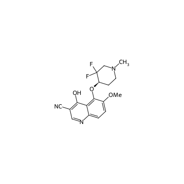 COc1ccc2ncc(C#N)c(O)c2c1O[C@@H]1CCN(C)CC1(F)F